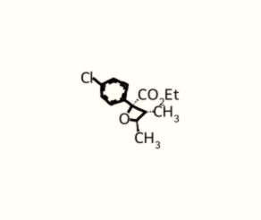 CCOC(=O)[C@@]1(c2ccc(Cl)cc2)O[C@H](C)[C@H]1C